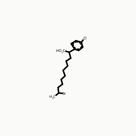 CC(Br)CCCCCCCCC(C(=O)O)c1ccc(Cl)cc1